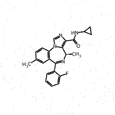 Cc1ccc2c(c1)C(c1ccccc1F)=N[C@H](C)c1c(C(=O)NC3CC3)ncn1-2